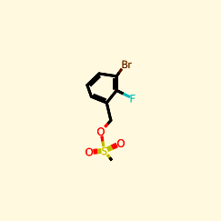 CS(=O)(=O)OCc1cccc(Br)c1F